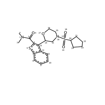 CN(C)C(=O)c1sc2ccccc2c1C1CN(S(=O)(=O)C2CCCC2)CCO1